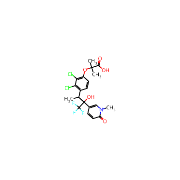 CC(c1ccc(OC(C)(C)C(=O)O)c(Cl)c1Cl)C(O)(c1ccc(=O)n(C)c1)C(F)(F)F